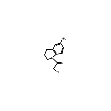 CC(C)(C)c1ccc2c(c1)CCCN2C(=O)CCl